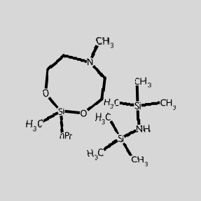 CCC[Si]1(C)OCCN(C)CCO1.C[Si](C)(C)N[Si](C)(C)C